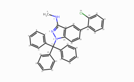 CNc1nn(C(c2ccccc2)(c2ccccc2)c2ccccc2)c2ccc(-c3ccccc3Cl)cc12